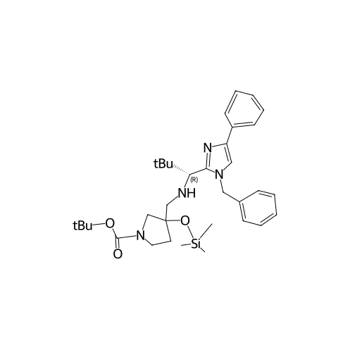 CC(C)(C)OC(=O)N1CCC(CN[C@@H](c2nc(-c3ccccc3)cn2Cc2ccccc2)C(C)(C)C)(O[Si](C)(C)C)C1